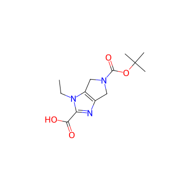 CCn1c(C(=O)O)nc2c1CN(C(=O)OC(C)(C)C)C2